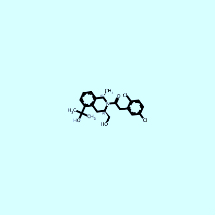 C[C@H]1c2cccc(C(C)(C)O)c2C[C@H](CO)N1C(=O)Cc1cc(Cl)ccc1Cl